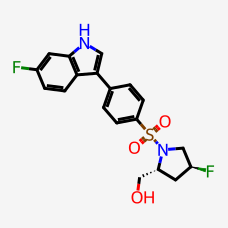 O=S(=O)(c1ccc(-c2c[nH]c3cc(F)ccc23)cc1)N1C[C@@H](F)C[C@@H]1CO